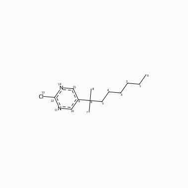 CCCCCCC(C)(C)c1cnc(Cl)nc1